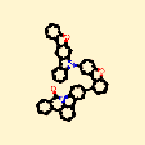 O=c1c2ccccc2c2cccc3c4cc(-c5cccc6oc7ccc(-n8c9ccccc9c9cc%10c(cc98)oc8ccccc8%10)cc7c56)ccc4n1c23